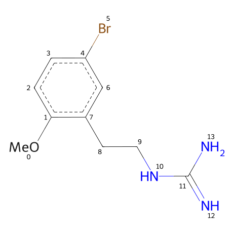 COc1ccc(Br)cc1CCNC(=N)N